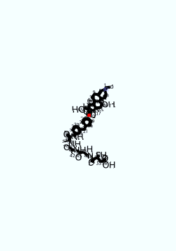 C/C=C1\C=C[C@@]2(C)C(=C1)CC[C@@H]1C2[C@@H](O)C[C@@]2(C)C1C[C@H]1O[C@@H](c3ccc(Cc4cccc(NC(=O)[C@H](C)NC(=O)[C@H](C)NC(=O)CCNC(=O)C(S)CC(=O)O)c4)cc3)O[C@]12C(=O)CO